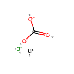 O=C([O-])[O-].[Cl+].[Li+]